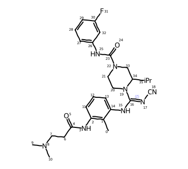 Cc1c(NC(=O)CCN(C)C)cccc1N/C(=N/C#N)N1CCN(C(=O)Nc2cccc(F)c2)CC1C(C)C